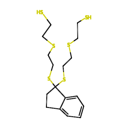 SCCSCCSC1(SCCSCCS)CCc2ccccc21